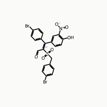 O=C/C(=C(\c1ccc(Br)cc1)c1ccc(O)c([N+](=O)[O-])c1)S(=O)(=O)Cc1ccc(Br)cc1